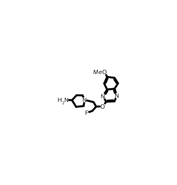 COc1ccc2ncc(OC(CF)CN3CCC(N)CC3)nc2c1